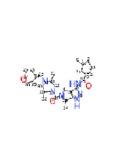 Cc1cccc(C(=O)Nc2n[nH]c3c2CN(C(=O)N2CC(C)N(CC4CCOCC4)C[C@@H]2C)C3C)c1